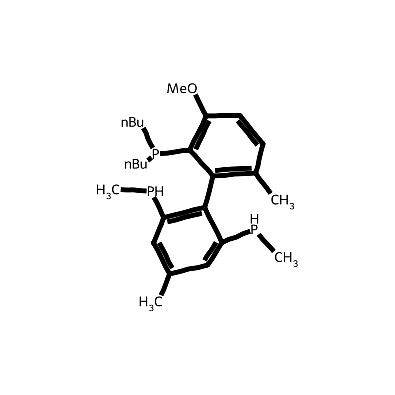 CCCCP(CCCC)c1c(OC)ccc(C)c1-c1c(PC)cc(C)cc1PC